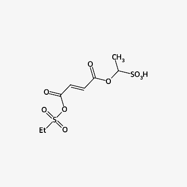 CCS(=O)(=O)OC(=O)/C=C/C(=O)OC(C)S(=O)(=O)O